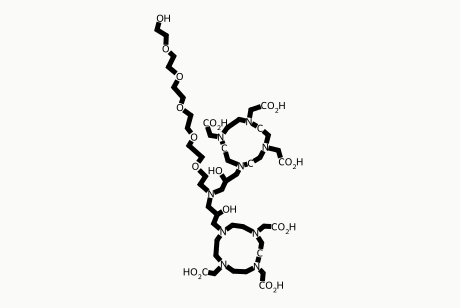 O=C(O)CN1CCN(CC(=O)O)CCN(CC(O)CN(CCOCCOCCOCCOCCOCCO)CC(O)CN2CCN(CC(=O)O)CCN(CC(=O)O)CCN(CC(=O)O)CC2)CCN(CC(=O)O)CC1